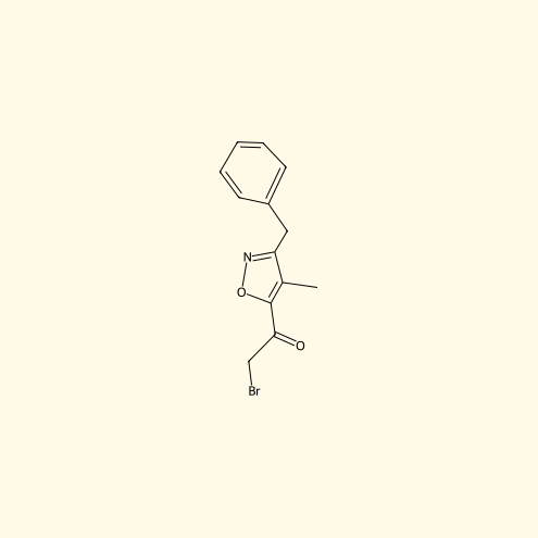 Cc1c(Cc2ccccc2)noc1C(=O)CBr